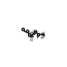 CS(=O)(=O)NCc1cc(F)cc(-c2ccnc3[nH]c(-c4n[nH]c5ncc(-c6cncc(CN7CCCCC7)c6)cc45)cc23)c1